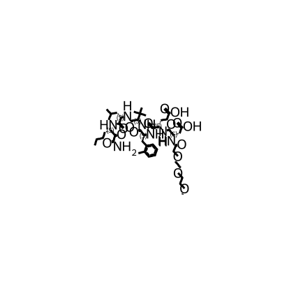 CCCC[C@H](NC(=O)[C@H](CC(C)C)NC(=O)[C@@H](NC(=O)[C@H](Cc1ccccc1C)NC(=O)[C@H](CCC(=O)O)NC(=O)[C@H](CC(=O)O)NC(=O)COCCOCCOC)C(C)(C)C)C(=O)C(N)=O